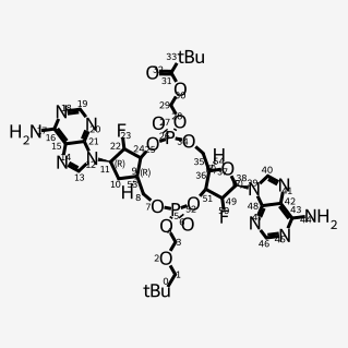 CC(C)(C)COCOP1(=O)OC[C@H]2C[C@@H](n3cnc4c(N)ncnc43)C(F)C2OP(=O)(OCOC(=O)C(C)(C)C)OC[C@H]2O[C@@H](n3cnc4c(N)ncnc43)C(F)C2O1